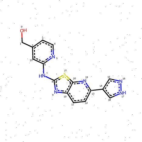 OCc1ccnc(Nc2nc3ccc(-c4cn[nH]c4)nc3s2)c1